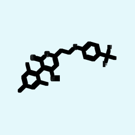 Cc1cc(C)c(-c2c(O)cc(CCSc3ccc(C(C)(F)F)cc3)oc2=O)c(C)c1